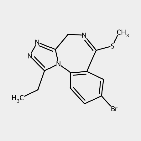 CCc1nnc2n1-c1ccc(Br)cc1C(SC)=NC2